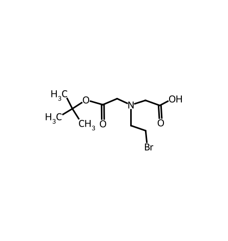 CC(C)(C)OC(=O)CN(CCBr)CC(=O)O